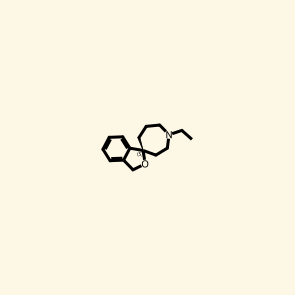 CCN1CCC[C@@]2(CC1)OCc1ccccc12